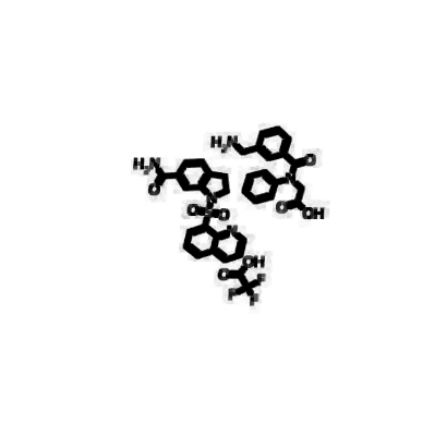 NC(=O)c1ccc2c(c1)N(S(=O)(=O)c1cccc3cccnc13)CC2.NCc1cccc(C(=O)N(CC(=O)O)c2ccccc2)c1.O=C(O)C(F)(F)F